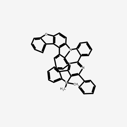 C[Si]1(C)c2ccccc2-c2nc(-c3ccccc3-n3c4ccccc4c4c5c(ccc43)oc3ccccc35)nc(-c3ccccc3)c21